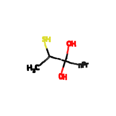 CCCC(O)(O)C(C)S